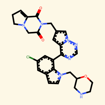 O=C1CN2CCC=C2C(=O)N1Cc1cc2c(-c3cc(Cl)cc4ccn(CC5CNCCO5)c34)ncnn2c1